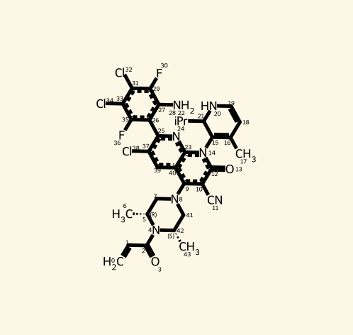 C=CC(=O)N1[C@H](C)CN(c2c(C#N)c(=O)n(C3=C(C)C=CNC3C(C)C)c3nc(-c4c(N)c(F)c(Cl)c(Cl)c4F)c(Cl)cc23)C[C@@H]1C